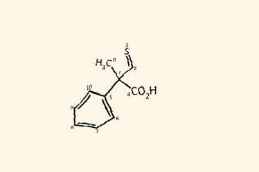 CC(C=S)(C(=O)O)c1ccccc1